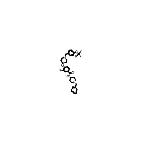 O=C(NC1CCN(Cc2ccccc2)CC1)c1ccc(OC2CCN(Cc3ccc(OC(F)(F)F)cc3)CC2)c(F)c1